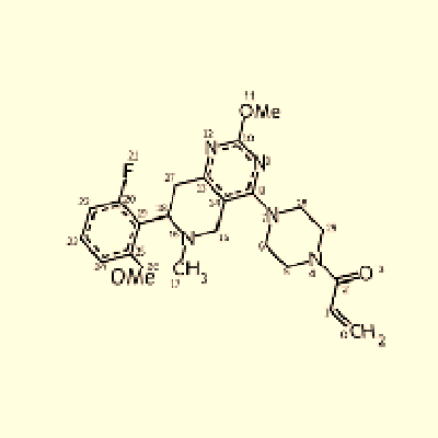 C=CC(=O)N1CCN(c2nc(OC)nc3c2CN(C)C(c2c(F)cccc2OC)C3)CC1